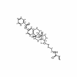 C=CC(=O)NCCCCOC1CC[C@H]2[C@@H]3CCc4cc(OC(=O)c5ccccc5)ccc4[C@H]3CC[C@]12C